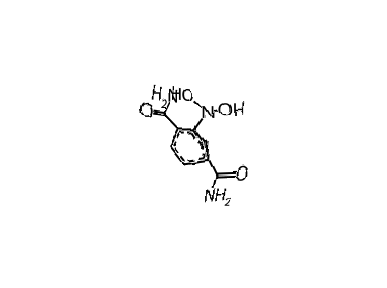 NC(=O)c1ccc(C(N)=O)c(N(O)O)c1